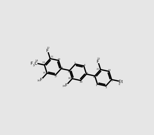 CCc1ccc(-c2ccc(-c3cc(F)c(C(F)(F)F)c(F)c3)c(F)c2)c(F)c1